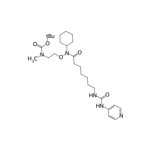 CN(CCON(C(=O)CCCCCCNC(=O)Nc1ccncc1)C1CCCCC1)C(=O)OC(C)(C)C